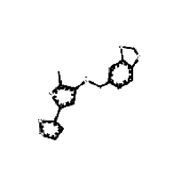 Cc1sc(-c2ccno2)cc1NCc1ccc2c(c1)OCO2